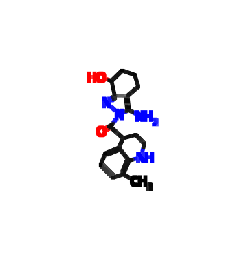 Cc1cccc2c1NCCC2C(=O)n1nc2c(c1N)CCCC2O